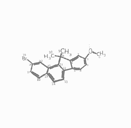 COc1ccc2c(c1)C(C)(C)c1c-2ccc2ccc(Br)cc12